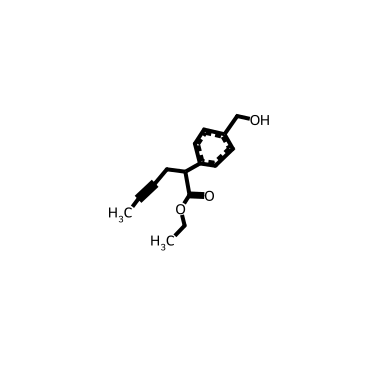 CC#CCC(C(=O)OCC)c1ccc(CO)cc1